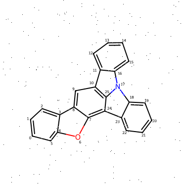 c1ccc2c(c1)oc1c2cc2c3ccccc3n3c4ccccc4c1c23